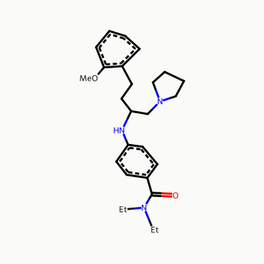 CCN(CC)C(=O)c1ccc(NC(CCc2ccccc2OC)CN2CCCC2)cc1